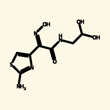 Nc1nc(C(=NO)C(=O)NCC(O)O)cs1